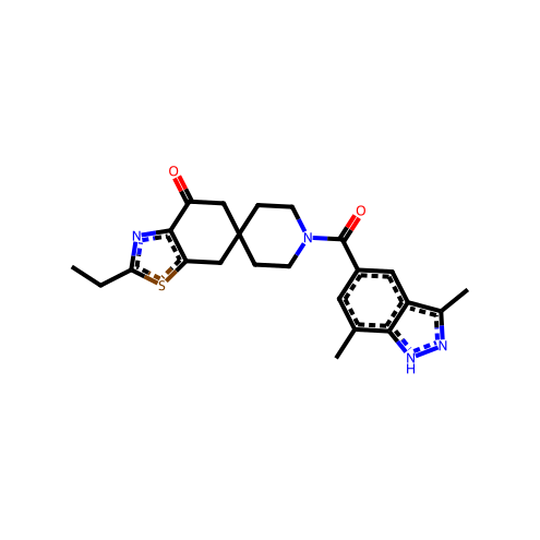 CCc1nc2c(s1)CC1(CCN(C(=O)c3cc(C)c4[nH]nc(C)c4c3)CC1)CC2=O